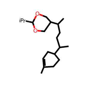 CC1=CCC(C(C)CCC(C)C2COC(C(C)C)OC2)CC1